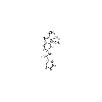 CC1=Nc2ccc(NC(=O)c3ccccc3)cc2C1(C)C